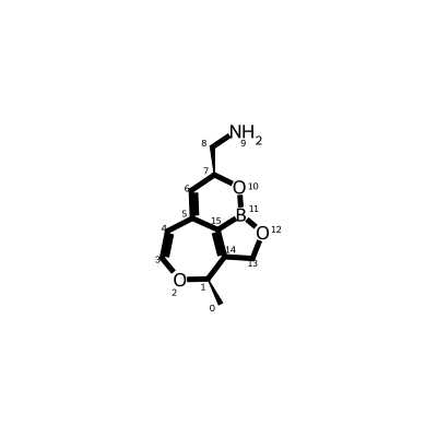 C[C@H]1OC=CC2=C[C@@H](CN)OB3OCC1=C32